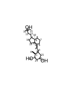 C=C1/C(=C\C=C2/CCC[C@]3(C)C(CCC(C)(C)O)CCC23)CC(O)C[C@@H]1O